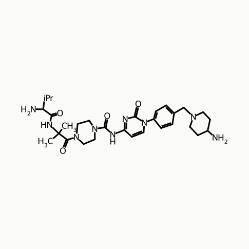 CC(C)C(N)C(=O)NC(C)(C)C(=O)N1CCN(C(=O)Nc2ccn(-c3ccc(CN4CCC(N)CC4)cc3)c(=O)n2)CC1